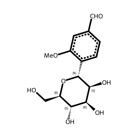 COc1cc(C=O)ccc1[C@H]1O[C@H](CO)[C@@H](O)[C@H](O)[C@@H]1O